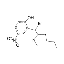 CCCCC(C(Br)c1cc([N+](=O)[O-])ccc1O)N(C)C